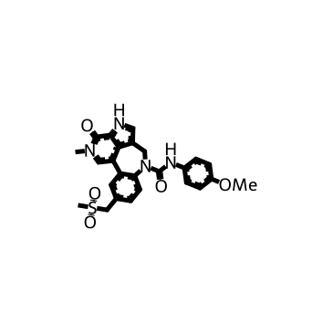 COc1ccc(NC(=O)N2Cc3c[nH]c4c(=O)n(C)cc(c34)-c3cc(CS(C)(=O)=O)ccc32)cc1